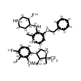 COc1c([C@H]2[C@H](c3cc(OCc4ccccc4)c(N[C@H]4CCNC[C@@H]4F)c(C)n3)O[C@@](C)(C(F)(F)F)[C@H]2C)ccc(F)c1F